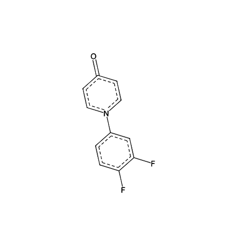 O=c1ccn(-c2ccc(F)c(F)c2)cc1